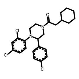 O=C(CC1CCCCC1)N1CCN(c2ccc(Cl)cc2Cl)C(c2ccc(Cl)cc2)C1